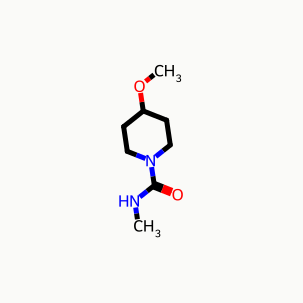 CNC(=O)N1CCC(OC)CC1